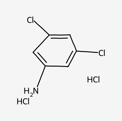 Cl.Cl.Nc1cc(Cl)cc(Cl)c1